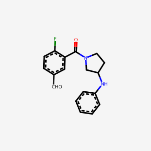 O=Cc1ccc(F)c(C(=O)N2CCC(Nc3ccccc3)C2)c1